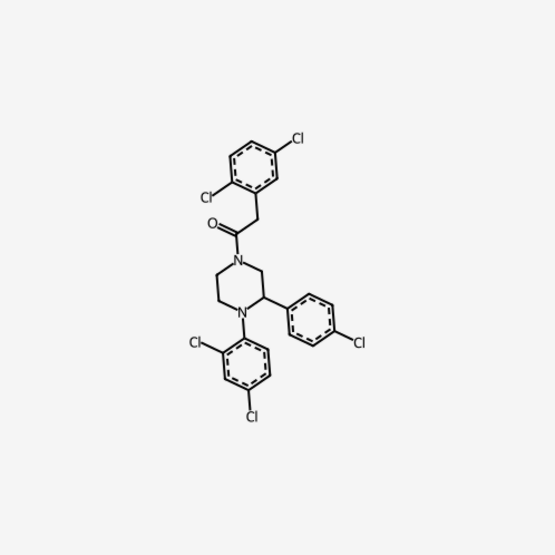 O=C(Cc1cc(Cl)ccc1Cl)N1CCN(c2ccc(Cl)cc2Cl)C(c2ccc(Cl)cc2)C1